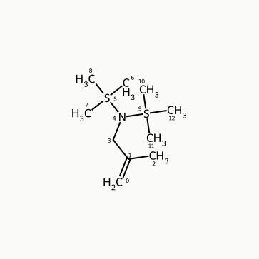 C=C(C)CN(S(C)(C)C)S(C)(C)C